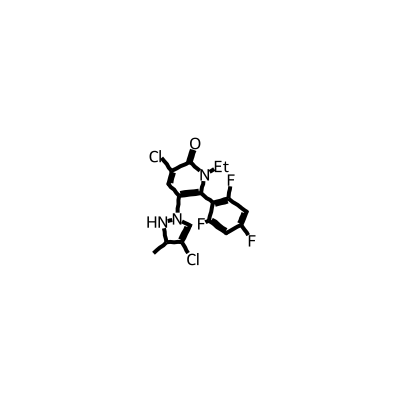 CCn1c(-c2c(F)cc(F)cc2F)c(N2C=C(Cl)C(C)N2)cc(Cl)c1=O